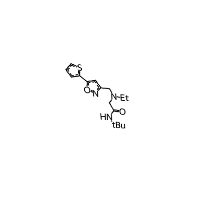 CCN(CC(=O)NC(C)(C)C)Cc1cc(-c2cccs2)on1